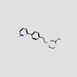 Nc1cccc(-c2ccc(CCN3CCNC(C[O])C3)cc2)n1